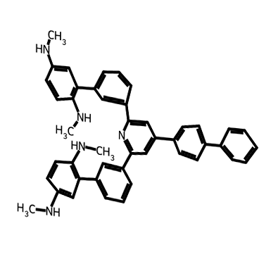 CNc1ccc(NC)c(-c2cccc(-c3cc(-c4ccc(-c5ccccc5)cc4)cc(-c4cccc(-c5cc(NC)ccc5NC)c4)n3)c2)c1